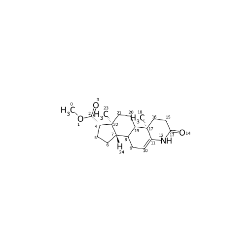 COC(=O)[C@H]1CC[C@H]2C3CC=C4NC(=O)CC[C@]4(C)C3CC[C@]12C